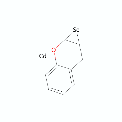 [Cd].c1ccc2c(c1)CC1[Se]C1O2